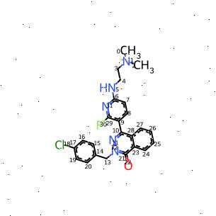 CN(C)CCNc1ccc(-c2nn(Cc3ccc(Cl)cc3)c(=O)c3ccccc23)c(F)n1